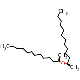 C=C(CCCCCCCCCCC)OC(=C)CCCCCCCCCCC